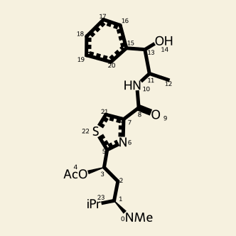 CN[C@H](C[C@@H](OC(C)=O)c1nc(C(=O)NC(C)C(O)c2ccccc2)cs1)C(C)C